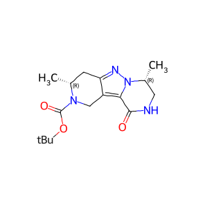 C[C@@H]1Cc2nn3c(c2CN1C(=O)OC(C)(C)C)C(=O)NC[C@H]3C